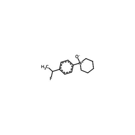 CC(F)c1ccc([N+]2([O-])CCCCC2)cc1